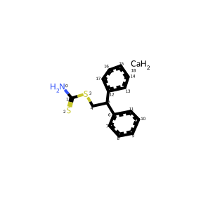 NC(=S)SCC(c1ccccc1)c1ccccc1.[CaH2]